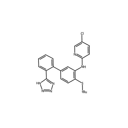 CC(C)(C)Sc1ccc(-c2ccccc2-c2nnn[nH]2)cc1Nc1ccc(Cl)cn1